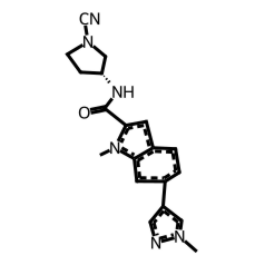 Cn1cc(-c2ccc3cc(C(=O)N[C@@H]4CCN(C#N)C4)n(C)c3c2)cn1